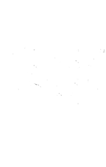 CN(Cc1nc2ccccn2c1C(=O)N1CC(N)C1)[C@H]1CCCc2cccnc21